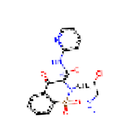 CN1/C(=C(\O)Nc2ccccn2)C(=O)c2ccccc2S1(=O)=O.NCCO